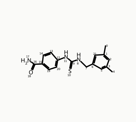 Cc1cc(C)cc(CNC(=S)Nc2ccc(C(N)=O)cc2)c1